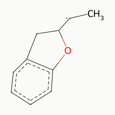 C[CH]C1Cc2ccccc2O1